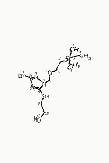 C[Si](C)(C)CCOCn1nc(Br)nc1SCCO